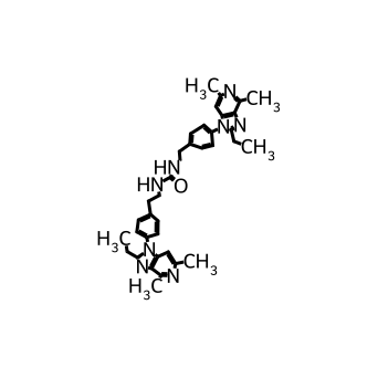 CCc1nc2c(C)nc(C)cc2n1-c1ccc(CCNC(=O)NCCc2ccc(-n3c(CC)nc4c(C)nc(C)cc43)cc2)cc1